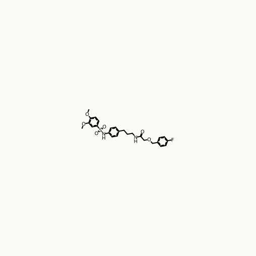 COc1ccc(S(=O)(=O)Nc2ccc(CCCNC(=O)COCc3ccc(F)cc3)cc2)cc1OC